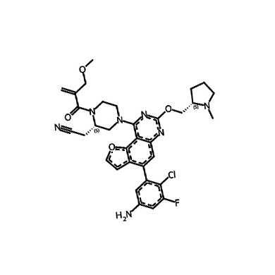 C=C(COC)C(=O)N1CCN(c2nc(OC[C@@H]3CCCN3C)nc3cc(-c4cc(N)cc(F)c4Cl)c4ccoc4c23)C[C@@H]1CC#N